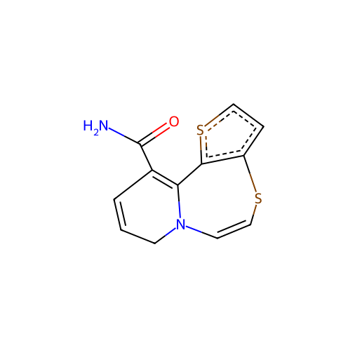 NC(=O)C1=C2c3sccc3SC=CN2CC=C1